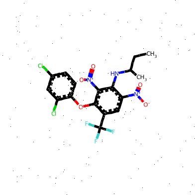 CCC(C)Nc1c([N+](=O)[O-])cc(C(F)(F)F)c(Oc2ccc(Cl)cc2Cl)c1[N+](=O)[O-]